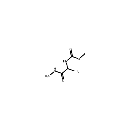 CNC(=O)C(C)NC(=O)OI